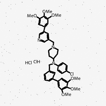 COc1cc(-c2cncc(CN3CCC(N(Cc4cccc(-c5cc(OC)c(OC)c(OC)c5)c4)c4ccc(Cl)cc4)CC3)c2)cc(OC)c1OC.Cl.Cl